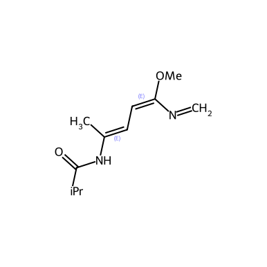 C=N/C(=C\C=C(/C)NC(=O)C(C)C)OC